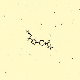 CC(C)(C)OC(=O)N1CCC(c2ncc(C(=O)CC#N)s2)CC1